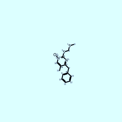 CSCSc1nc(Cc2ccccc2)c(C)c[n+]1[O-]